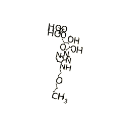 CCCCOCCCNc1ccnc2c1ncn2[C@@H]1OC(COP(=O)(O)O)[C@@H](O)[C@H]1O